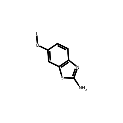 Nc1nc2ccc(OI)cc2s1